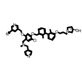 Cc1c(COc2cc(OCc3cncc(C#N)c3)c(CN(C)Cc3ccncc3)cc2Cl)cccc1-c1cccc(OCCCN2CC[C@@H](O)C2)c1C